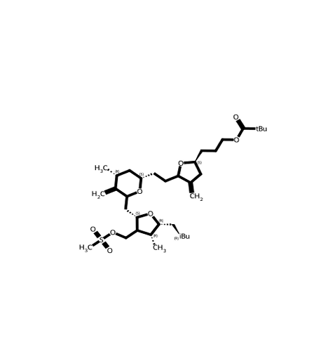 C=C1C[C@H](CCCOC(=O)C(C)(C)C)OC1CC[C@H]1C[C@@H](C)C(=C)C(C[C@@H]2O[C@H](C[C@H](C)CC)[C@H](C)C2COS(C)(=O)=O)O1